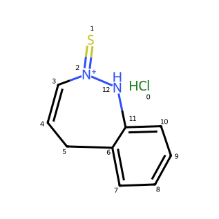 Cl.S=[N+]1C=CCc2ccccc2N1